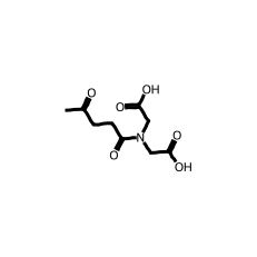 CC(=O)CCC(=O)N(CC(=O)O)CC(=O)O